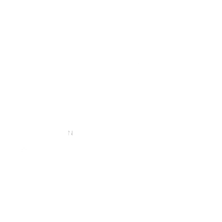 c1ccc(-c2ccc(N(c3cccc(-c4ccc5c(c4)c(-c4ccccc4)c(-c4ccccc4)c4ccccc45)c3)c3cccc4oc5ccccc5c34)cc2-c2ccccc2)cc1